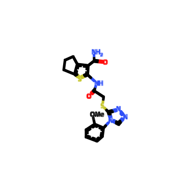 COc1ccccc1-n1cnnc1SCC(=O)Nc1sc2c(c1C(N)=O)CCC2